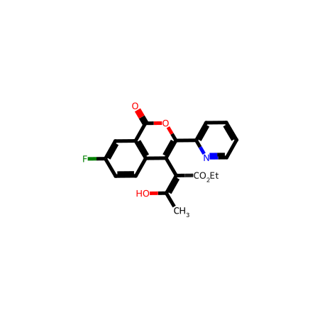 CCOC(=O)/C(=C(\C)O)c1c(-c2ccccn2)oc(=O)c2cc(F)ccc12